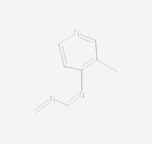 C=N/C=N\c1ccncc1C